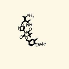 COc1ccc(CN2C(=O)N(c3cnn(C/C(C(C)=N)=C(\C)P)c3)C(=O)C2(C)C)cc1C